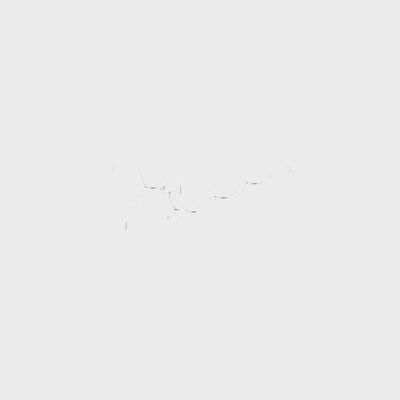 CCCSCCSC[C@H](NC(C)C(=O)O)C(=O)OCC